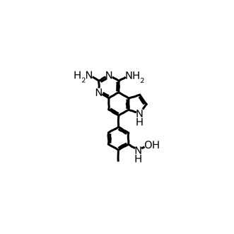 Cc1ccc(-c2cc3nc(N)nc(N)c3c3cc[nH]c23)cc1NO